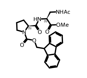 COC(=O)[C@H](CNC(C)=O)NC(=O)[C@@H]1CCCN1C(=O)OCC1c2ccccc2-c2ccccc21